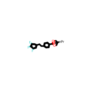 CCCC12COC(c3ccc(CCc4cc(F)c(F)c(F)c4)cc3)(OC1)OC2